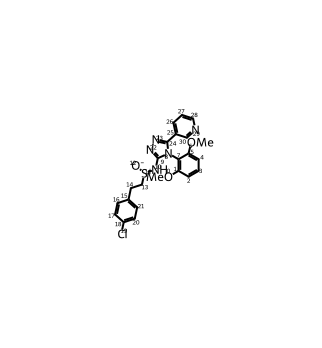 COc1cccc(OC)c1-n1c(N[S+]([O-])CCc2ccc(Cl)cc2)nnc1-c1cccnc1